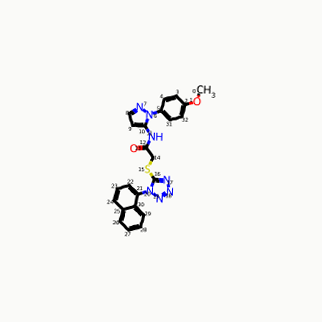 COc1ccc(-n2nccc2NC(=O)CSc2nnnn2-c2cccc3ccccc23)cc1